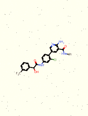 CC(C)NC(=O)c1cc(-c2ccc(NC(=O)C(O)c3cccc(C(F)(F)F)c3)cc2Cl)cnc1N